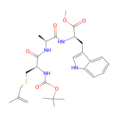 C=C(C)CSC[C@H](NC(=O)OC(C)(C)C)C(=O)N[C@@H](C)C(=O)N[C@H](Cc1c[nH]c2ccccc12)C(=O)OC